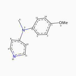 COc1ccc(N(C)c2ccncc2)cc1